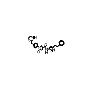 O=C(Nc1cc(CCc2ccccc2)no1)C1CC(=O)N(c2ccc(CC3CNCCO3)cc2)C1